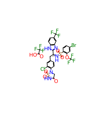 O=C(O)C(F)(F)F.O=C1CN(c2ccc(C[C@H](NS(=O)(=O)c3ccc(Br)cc3OC(F)(F)F)c3nc4cc(C(F)(F)F)ccc4[nH]3)cc2Cl)S(=O)(=O)N1